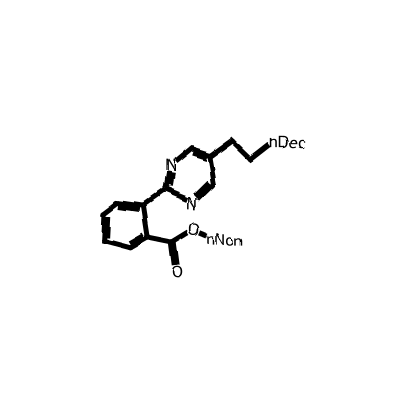 CCCCCCCCCCCCc1cnc(-c2ccccc2C(=O)OCCCCCCCCC)nc1